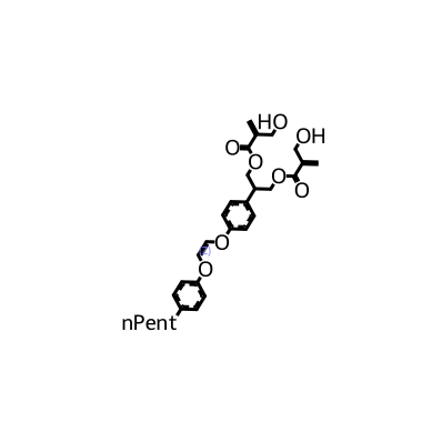 C=C(CO)C(=O)OCC(COC(=O)C(=C)CO)c1ccc(O/C=C\Oc2ccc(CCCCC)cc2)cc1